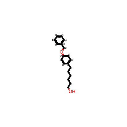 OCCCCCCc1ccc(OCc2ccccc2)cc1